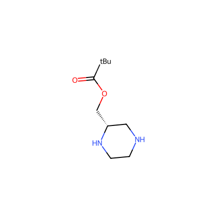 CC(C)(C)C(=O)OC[C@@H]1CNCCN1